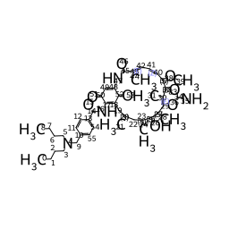 CCCCN(CCCC)Cc1ccc(C(=O)NC2=C3C[C@@H](C)C[C@H](C)[C@H](O)[C@@H](C)/C=C(\C)[C@H](OC(N)=O)[C@@H](OC)/C=C\C=C(/C)C(=O)NC(=CC2=O)C3=O)cc1